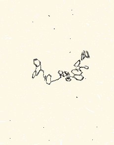 CN(CC1CCN(CCc2coc3ccccc23)CC1)S(=O)(=O)c1cccc2c1CCN(C(=O)OC(C)(C)C)C2